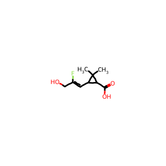 CC1(C)C(C=C(F)CO)C1C(=O)O